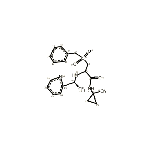 N#CC1(NC(=O)C(CS(=O)(=O)Cc2ccccc2)N[C@H](c2ccccn2)C(F)(F)F)CC1